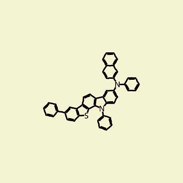 c1ccc(-c2ccc3sc4c(ccc5c6cc(N(c7ccccc7)c7ccc8ccccc8c7)ccc6n(-c6ccccc6)c54)c3c2)cc1